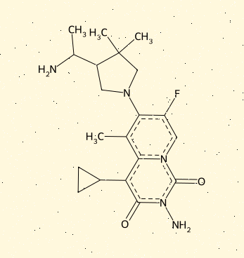 Cc1c(N2CC(C(C)N)C(C)(C)C2)c(F)cn2c(=O)n(N)c(=O)c(C3CC3)c12